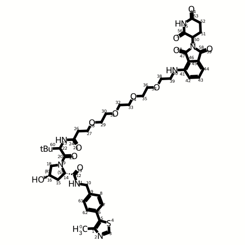 Cc1ncsc1-c1ccc(CNC(=O)[C@@H]2C[C@@H](O)CN2C(=O)C(NC(=O)CCOCCOCCOCCOCCNc2cccc3c2C(=O)N(C2CCC(=O)NC2=O)C3=O)C(C)(C)C)cc1